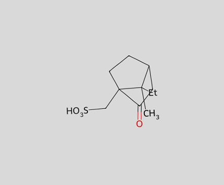 CCC1(C)C2CCC1(CS(=O)(=O)O)C(=O)C2